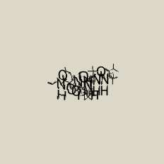 C=CCNC(=O)C(=O)C(CCC)NC(=O)[C@@H]1[C@@H]2[C@H](CN1C(=O)[C@@H](NC(=O)N[C@H](C(=C)C(C)C)C(C)C)C(C)(C)C)C2(C)C